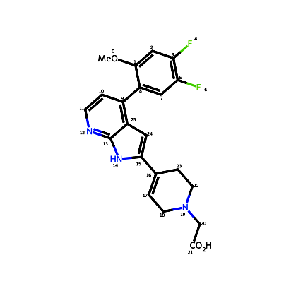 COc1cc(F)c(F)cc1-c1ccnc2[nH]c(C3=CCN(CC(=O)O)CC3)cc12